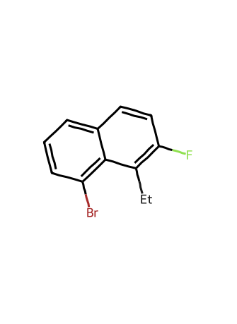 CCc1c(F)ccc2cccc(Br)c12